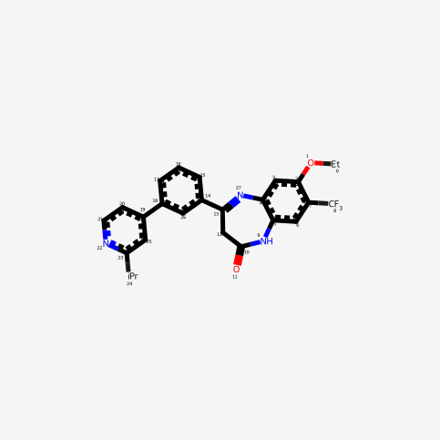 CCOc1cc2c(cc1C(F)(F)F)NC(=O)CC(c1cccc(-c3ccnc(C(C)C)c3)c1)=N2